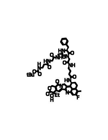 CC[C@@]1(O)C(=O)OCc2c1cc1n(c2=O)Cc2c-1nc1cc(F)c(C)c3c1c2[C@@H](NC(=O)CCCNC(=O)CNC(=O)[C@H](Cc1ccccc1)NC(=O)CNC(=O)CNC(=O)CCNC(=O)OC(C)(C)C)CC3